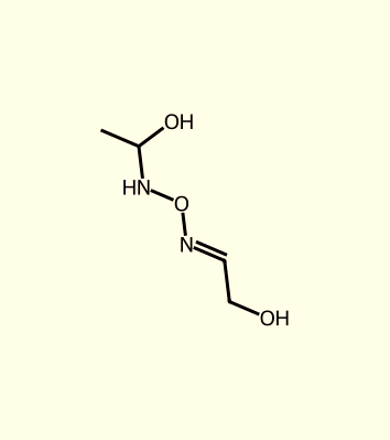 CC(O)NON=CCO